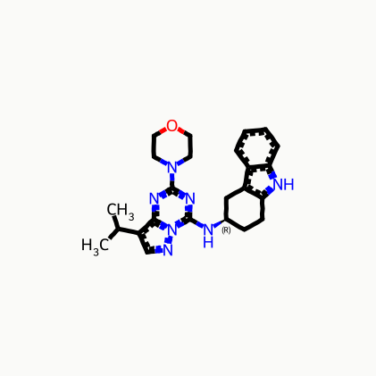 CC(C)c1cnn2c(N[C@@H]3CCc4[nH]c5ccccc5c4C3)nc(N3CCOCC3)nc12